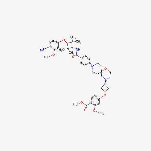 COC(=O)c1ccc(O[C@H]2C[C@H](N3CCOC4(CCN(c5ccc(C(=O)N[C@H]6C(C)(C)[C@H](Oc7ccc(C#N)c(OC)c7)C6(C)C)cc5)CC4)C3)C2)cc1OC